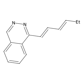 [CH2]CC=CC=Cc1nncc2ccccc12